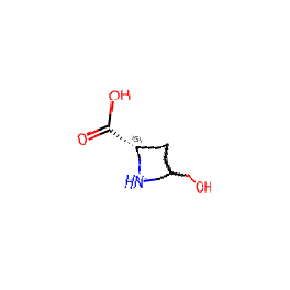 O=C(O)[C@@H]1CC(O)N1